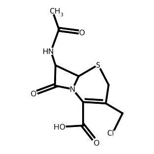 CC(=O)NC1C(=O)N2C(C(=O)O)=C(CCl)CSC12